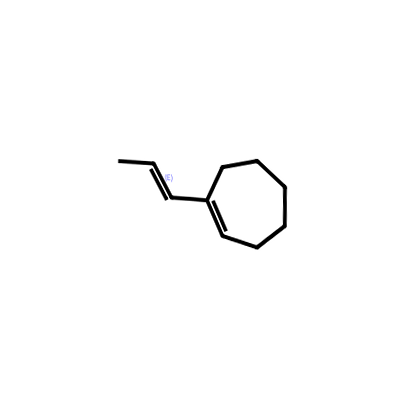 C/C=[C]/C1=CCCCCC1